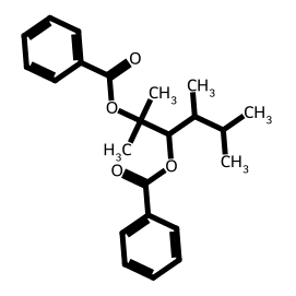 CC(C)C(C)C(OC(=O)c1ccccc1)C(C)(C)OC(=O)c1ccccc1